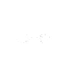 Cc1ccccc1N(c1ccc2oc3ccc(-c4ccccc4)cc3c2c1)c1c(C)cc(-c2cc(C)c(N(c3ccc4oc5ccc(-c6ccccc6)cc5c4c3)c3ccccc3C)c(C)c2)cc1C